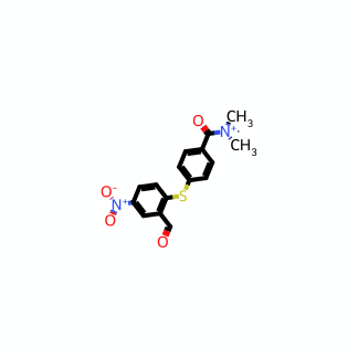 C[N+](C)C(=O)c1ccc(Sc2ccc([N+](=O)[O-])cc2C=O)cc1